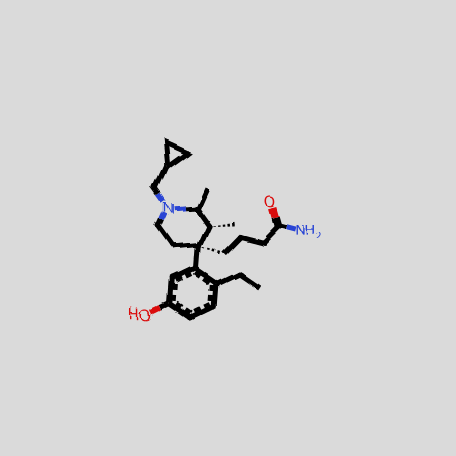 CCc1ccc(O)cc1[C@@]1(CCCC(N)=O)CCN(CC2CC2)C(C)[C@@H]1C